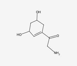 NCC(=O)C1=CC(O)CC(O)C1